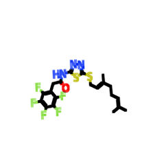 CC(C)=CCC/C(C)=C/CSc1nnc(NC(=O)Cc2c(F)c(F)c(F)c(F)c2F)s1